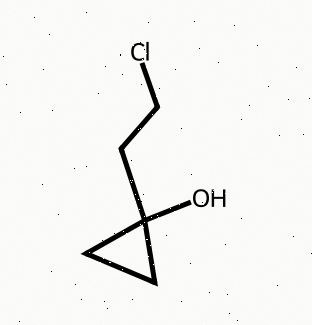 OC1(CCCl)CC1